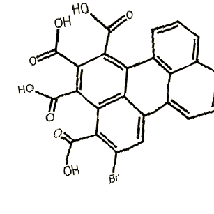 O=C(O)c1c(C(=O)O)c2c(C(=O)O)c(Br)cc3c4cccc5cccc(c(c1C(=O)O)c23)c54